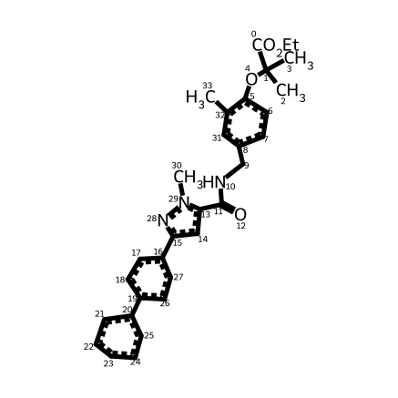 CCOC(=O)C(C)(C)Oc1ccc(CNC(=O)c2cc(-c3ccc(-c4ccccc4)cc3)nn2C)cc1C